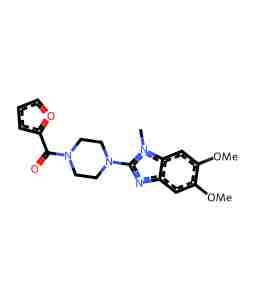 COc1cc2nc(N3CCN(C(=O)c4ccco4)CC3)n(C)c2cc1OC